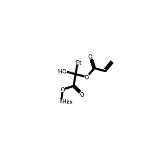 C=CC(=O)OC(O)(CC)C(=O)OCCCCCC